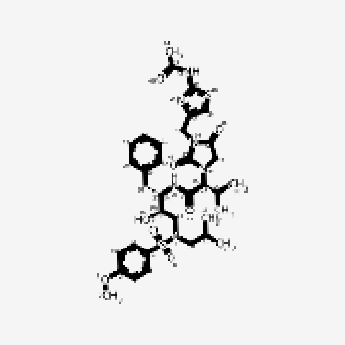 COc1ccc(S(=O)(=O)N(CC(C)C)C[C@@H](O)[C@H](Cc2ccccc2)NC(=O)[C@H](C(C)C)N2CC(=O)N(Cc3csc(NC(C)=O)n3)C2=O)cc1